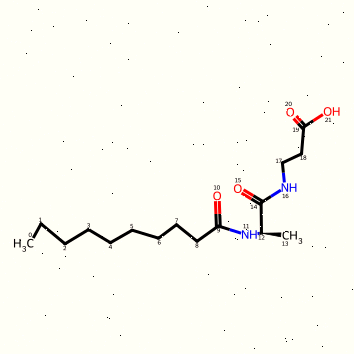 CCCCCCCCCC(=O)N[C@H](C)C(=O)NCCC(=O)O